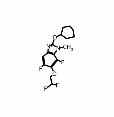 Cn1c(OC2CCCCC2)nc2cc(F)c(OCC(F)F)c(F)c21